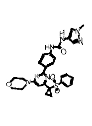 Cn1cc(NC(=O)Nc2ccc(-c3nc(N4CCOCC4)cc(C4(S(=O)(=O)c5ccccc5)CC4)n3)cc2)cn1